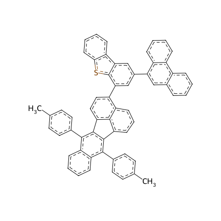 Cc1ccc(-c2c3c(c(-c4ccc(C)cc4)c4ccccc24)-c2ccc(-c4cc(-c5cc6ccccc6c6ccccc56)cc5c4sc4ccccc45)c4cccc-3c24)cc1